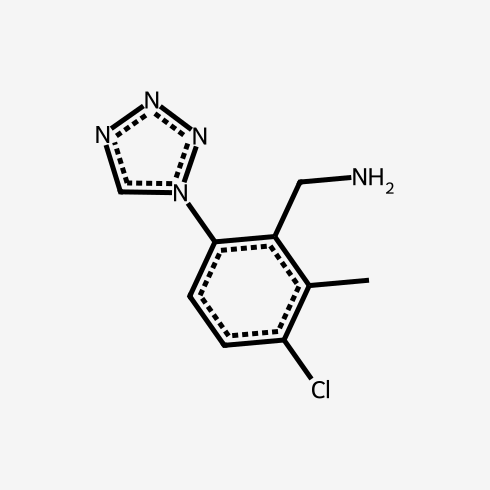 Cc1c(Cl)ccc(-n2cnnn2)c1CN